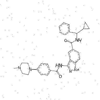 CN1CCN(c2ccc(C(=O)Nc3n[nH]c4ccc(C(=O)NC(c5ccccc5)C5CC5)cc34)cc2)CC1